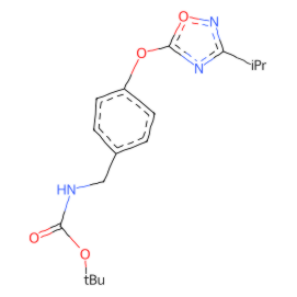 CC(C)c1noc(Oc2ccc(CNC(=O)OC(C)(C)C)cc2)n1